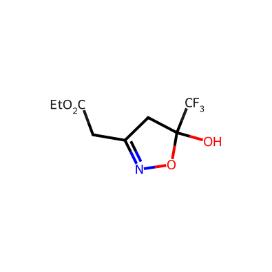 CCOC(=O)CC1=NOC(O)(C(F)(F)F)C1